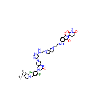 CC1(C)CCN(Cc2cc(F)c(N3CC(=O)NC4(CCN(c5cc(NCCN6CC[C@@]7(CCN(CCCNc8ccc9c(c8)C(=O)N(C8CCC(=O)NC8=O)C9=O)C7)C6)ncn5)CC4)C3)cc2F)CC1